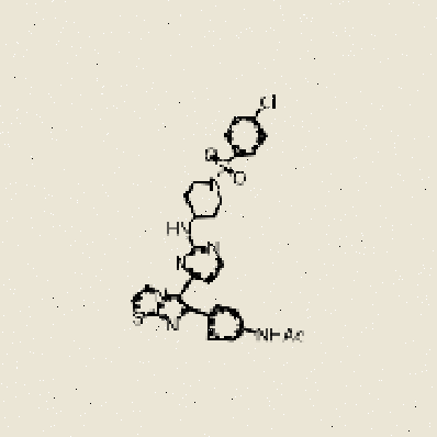 CC(=O)Nc1ccc(-c2nc3sccn3c2-c2ccnc(NC3CCN(S(=O)(=O)c4ccc(Cl)cc4)CC3)n2)cc1